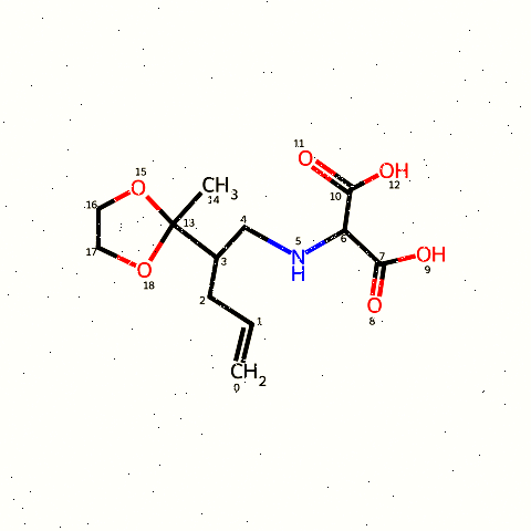 C=CCC(CNC(C(=O)O)C(=O)O)C1(C)OCCO1